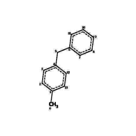 Cc1ccc(Cc2cc[c]cc2)cc1